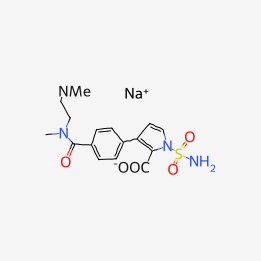 CNCCN(C)C(=O)c1ccc(-c2ccn(S(N)(=O)=O)c2C(=O)[O-])cc1.[Na+]